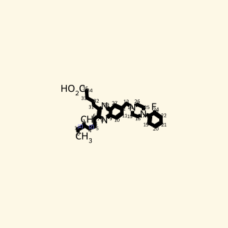 C/C=C(C)\C=C/Cc1nc2ccc(CN3CCN(c4ccccc4F)CC3)cc2nc1CCCCC(=O)O